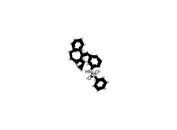 O=S(=O)(Nc1cccc(/C=C2/c3ccccc3CCc3sccc32)c1)c1ccccc1